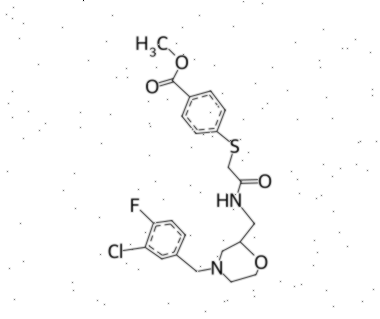 COC(=O)c1ccc(SCC(=O)NCC2CN(Cc3ccc(F)c(Cl)c3)CCO2)cc1